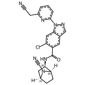 N#CCc1cccc(-n2ncc3cc(C(=O)N[C@@H]4C[C@@H]5CC[C@H]4N5C#N)c(Cl)cc32)n1